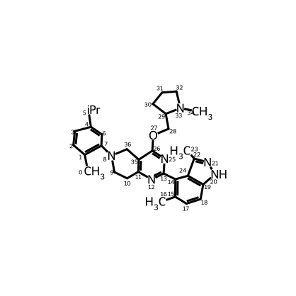 Cc1ccc(C(C)C)cc1N1CCc2nc(-c3c(C)ccc4[nH]nc(C)c34)nc(OCC3CCCN3C)c2C1